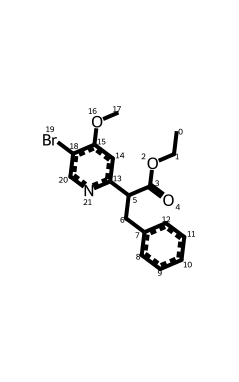 CCOC(=O)C(Cc1ccccc1)c1cc(OC)c(Br)cn1